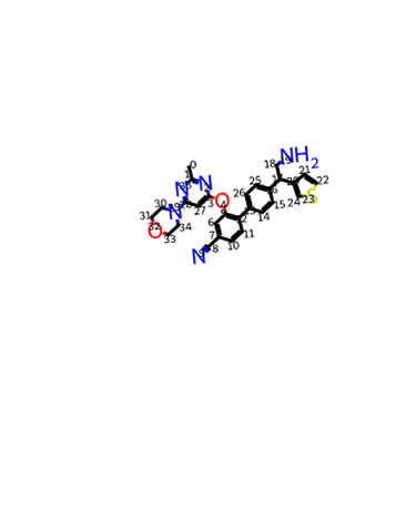 Cc1nc(Oc2cc(C#N)ccc2-c2ccc(C(CN)c3ccsc3)cc2)cc(N2CCOCC2)n1